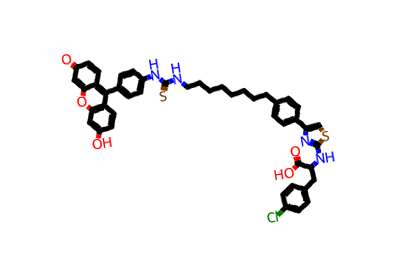 O=C(O)C(Cc1ccc(Cl)cc1)Nc1nc(-c2ccc(CCCCCCCCNC(=S)Nc3ccc(-c4c5ccc(=O)cc-5oc5cc(O)ccc45)cc3)cc2)cs1